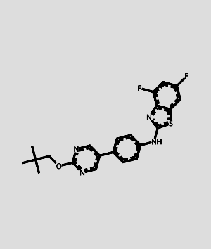 CC(C)(C)COc1ncc(-c2ccc(Nc3nc4c(F)cc(F)cc4s3)cc2)cn1